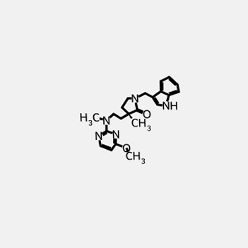 COc1ccnc(N(C)CC[C@]2(C)CCN(Cc3c[nH]c4ccccc34)C2=O)n1